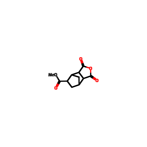 COC(=O)C1CC2CC1C1C(=O)OC(=O)C21